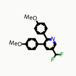 COc1ccc(-c2cc(C(F)F)cnc2-c2ccc(OC)cc2)cc1